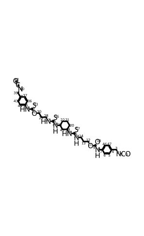 O=C=NCc1ccc(NC(=O)OCCCNC(=S)NC2CCCC(NC(=S)NCCCOC(=S)Nc3ccc(CN=C=O)cc3)C2)cc1